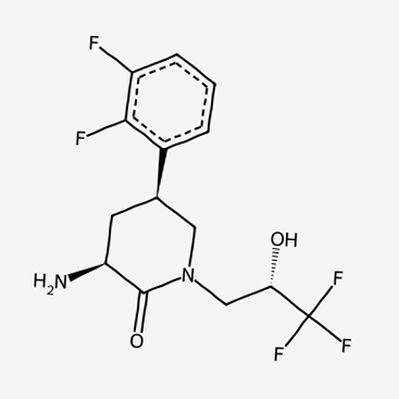 N[C@H]1C[C@@H](c2cccc(F)c2F)CN(C[C@H](O)C(F)(F)F)C1=O